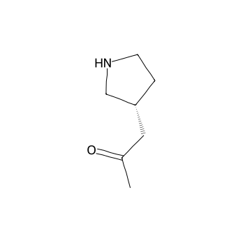 CC(=O)C[C@H]1CCNC1